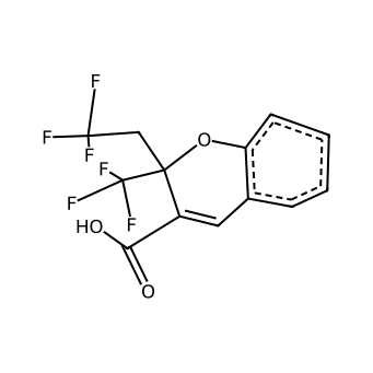 O=C(O)C1=Cc2ccccc2OC1(CC(F)(F)F)C(F)(F)F